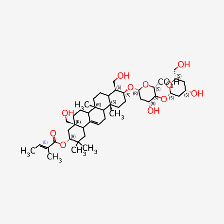 C/C=C(\C)C(=O)O[C@@H]1C[C@]2(CO)CCC3C(=CCC4[C@@]3(C)CCC3[C@@H](CO)[C@@H](O[C@H]5C[C@@H](O)[C@H](O[C@H]6C[C@@H](O)C[C@@H](CO)O6)[C@@H](C(=O)O)O5)CC[C@@]34C)C2CC1(C)C